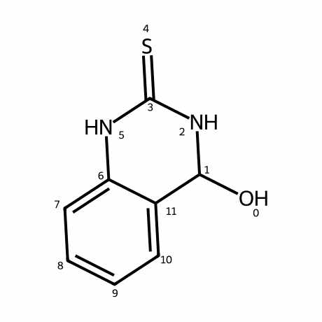 OC1NC(=S)Nc2ccccc21